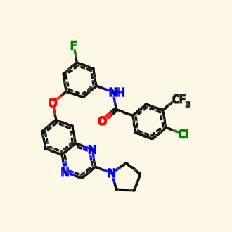 O=C(Nc1cc(F)cc(Oc2ccc3ncc(N4CCCC4)nc3c2)c1)c1ccc(Cl)c(C(F)(F)F)c1